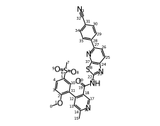 COc1ccc(S(C)(=O)=O)cc1-c1cc(C)ncc1C(=O)Nc1nc2ccc(-c3ccc(C#N)cc3)nc2s1